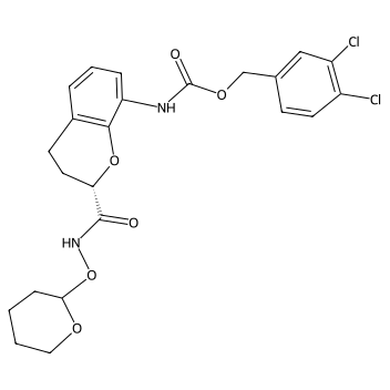 O=C(Nc1cccc2c1O[C@H](C(=O)NOC1CCCCO1)CC2)OCc1ccc(Cl)c(Cl)c1